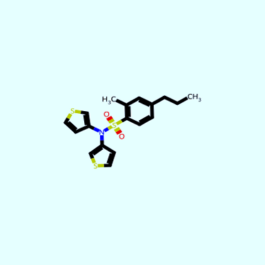 CCCc1ccc(S(=O)(=O)N(c2ccsc2)c2ccsc2)c(C)c1